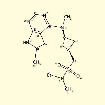 CCN(C)S(=O)(=O)C[C@H]1C[C@@H](N(C)c2ncnc3c2CC(C)N3)C1